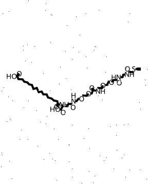 C#CSCC(=O)NCCNC(=O)COCCOCCNC(=O)COCCOCCNC(=O)CC[C@H](NC(=O)CCCCCCCCCCCCCCCCC(=O)O)C(=O)O